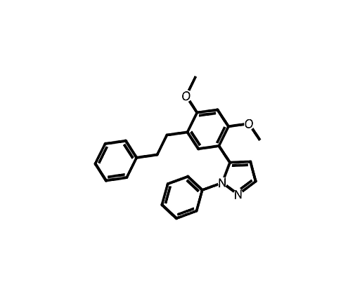 COc1cc(OC)c(-c2ccnn2-c2ccccc2)cc1CCc1ccccc1